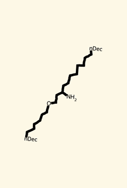 CCCCCCCCCCCCCCCCCCC(N)CCOCCCCCCCCCCCCCCCC